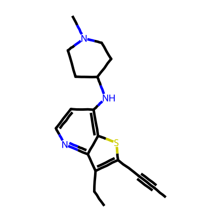 CC#Cc1sc2c(NC3CCN(C)CC3)ccnc2c1CC